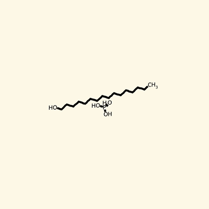 CCCCCCCCCCCCCCCCO.O=[PH](O)O